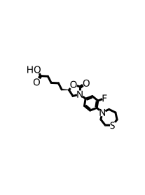 O=C(O)CCCC[C@@H]1CN(c2ccc(N3CCCSCC3)c(F)c2)C(=O)O1